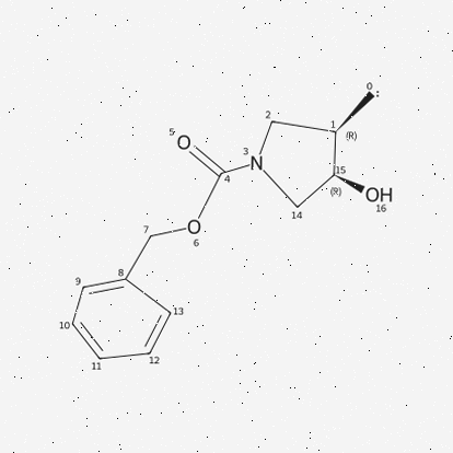 [CH][C@@H]1CN(C(=O)OCc2ccccc2)C[C@@H]1O